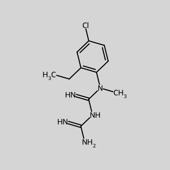 CCc1cc(Cl)ccc1N(C)C(=N)NC(=N)N